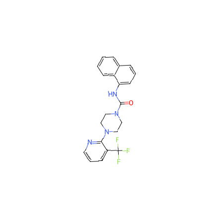 O=C(Nc1cccc2ccccc12)N1CCN(c2ncccc2C(F)(F)F)CC1